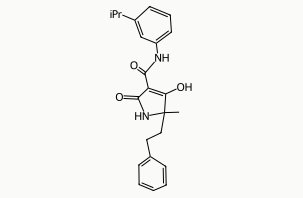 CC(C)c1cccc(NC(=O)C2=C(O)C(C)(CCc3ccccc3)NC2=O)c1